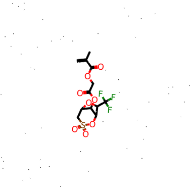 C=C(C)C(=O)OCC(=O)OC1C2CS(=O)(=O)OC1C(C(F)(F)F)O2